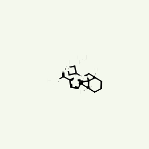 COC1(c2ccc(C(N)=O)s2)[C@@H]2CCC[C@H]1CN(C1CNC1)C2.Cl.Cl